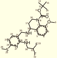 COc1cccc2c1N(C(=O)OC(C)(C)C)CCC2NCc1cnc(SC)nc1NCC(F)F